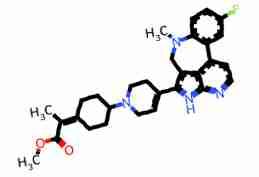 COC(=O)C(C)=C1CCC(N2CC=C(c3[nH]c4nccc5c4c3CN(C)c3ccc(F)cc3-5)CC2)CC1